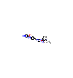 C=Cc1c(N2CCN(CC[C@H]3CC[C@H](NC(=O)C4CCNCC4)CC3)CC2)nsc1/C=C\C